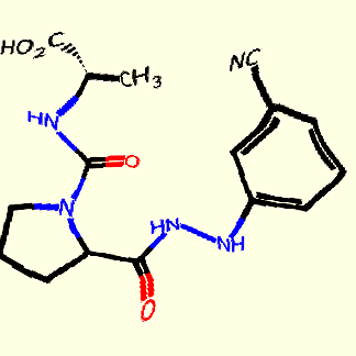 C[C@H](NC(=O)N1CCCC1C(=O)NNc1cccc(C#N)c1)C(=O)O